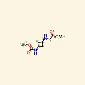 COC(=O)CNC1CC(NC(=O)OC(C)(C)C)C1